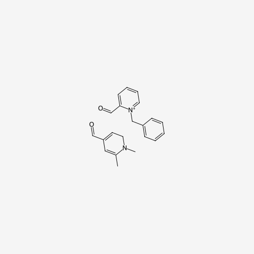 CC1=CC(C=O)=CCN1C.O=Cc1cccc[n+]1Cc1ccccc1